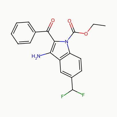 CCOC(=O)n1c(C(=O)c2ccccc2)c(N)c2cc(C(F)F)ccc21